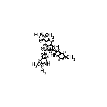 Cc1ccc2[nH]c(C(=O)N[C@H]3CC[C@H](C(=O)N(C)C)C[C@H]3NC(=O)c3nc4c(s3)CC(C)(C)NC4)cc2c1